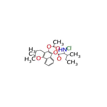 CCC(C)C(NCl)C(=O)Oc1c(OC(C)=O)c2c(c3ccccc13)OC(C)(C)CC2